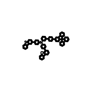 c1ccc(C2(c3ccccc3)c3ccccc3-c3cc(-c4ccc(-c5cccc(N(c6ccc(-c7ccc8sc9ccccc9c8c7)cc6)c6ccc(-c7cccc8c7oc7ccccc78)cc6)c5)cc4)ccc32)cc1